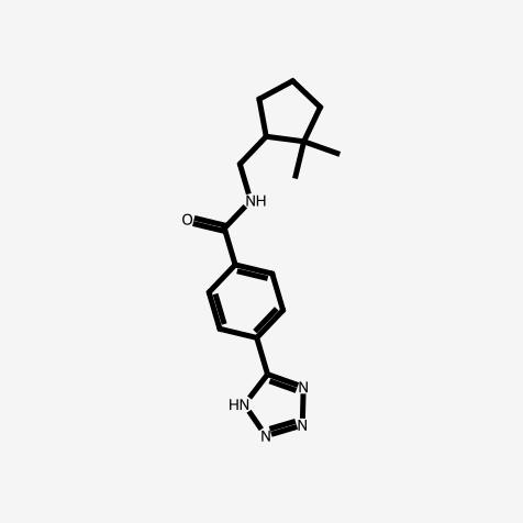 CC1(C)CCCC1CNC(=O)c1ccc(-c2nnn[nH]2)cc1